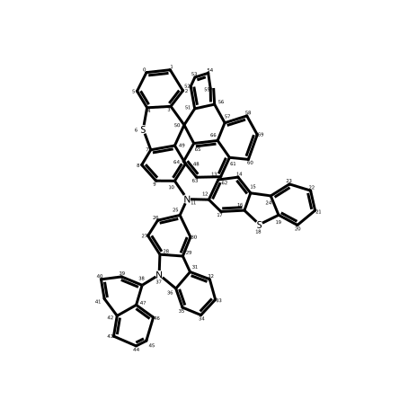 c1ccc2c(c1)Sc1ccc(N(c3ccc4c(c3)sc3ccccc34)c3ccc4c(c3)c3ccccc3n4-c3cccc4ccccc34)cc1C21c2ccccc2-c2cccc3cccc1c23